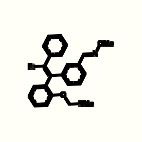 CCC(=C(c1cccc(C=NOC)c1)c1ccccc1OCNC)c1ccccc1